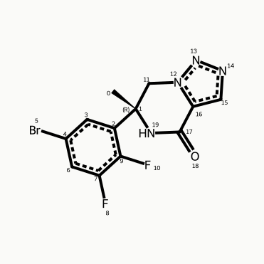 C[C@@]1(c2cc(Br)cc(F)c2F)Cn2nncc2C(=O)N1